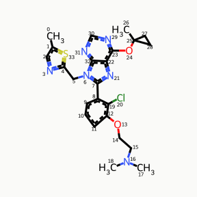 Cc1cnc(Cn2c(-c3cccc(OCCN(C)C)c3Cl)nc3c(OC4(C)CC4)ncnc32)s1